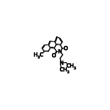 CCN(CC)CCN1C(=O)c2cccc3cc4ccc(C)cc4c(c23)C1=O